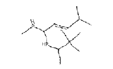 CPC(C=CC(C)C)PC(C)C(C)(C)C